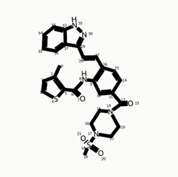 Cc1ccsc1C(=O)Nc1cc(C(=O)N2CCN(S(C)(=O)=O)CC2)ccc1C=Cc1n[nH]c2ccccc12